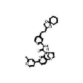 Cc1cc(-c2ccc3c(n2)N(C(=O)Nc2cc(CCC4COC5(CCCCC5)O4)ccn2)[C@H]2CCN3C2)ccn1